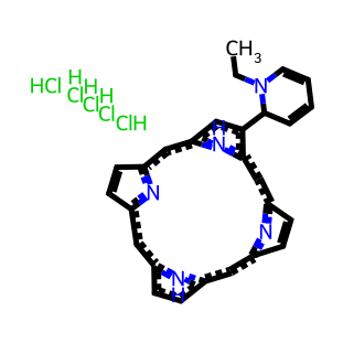 CCN1C=CC=CC1c1cc2cc3nc(cc4ccc(cc5nc(cc1[nH]2)C=C5)[nH]4)C=C3.Cl.Cl.Cl.Cl.Cl